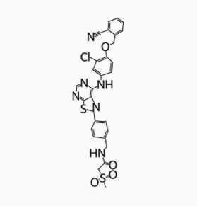 CS(=O)(=O)CC(=O)NCc1ccc(-c2nc3c(Nc4ccc(OCc5ccccc5C#N)c(Cl)c4)ncnc3s2)cc1